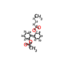 CCCCC(=O)Oc1ccccc1-c1ccccc1OC(C)=O